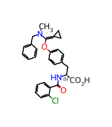 CN(Cc1ccccc1)C(Oc1ccc(C[C@H](NC(=O)c2ccccc2Cl)C(=O)O)cc1)=C1CC1